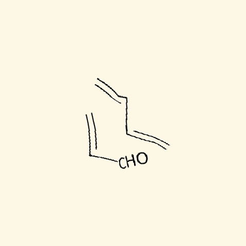 C=CC=C.C=CC=O